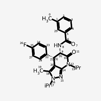 Cc1cccc(C(=O)N[C@@H]2C(=O)N(C(C)C)c3nn(C(C)C)c(C)c3[C@@H]2c2ccc(F)cc2)c1